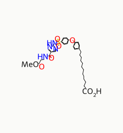 COC(=O)CCNC(=O)c1cnc(NS(=O)(=O)c2ccc(Oc3ccc(CCCCCCCCCCCCCC(=O)O)cc3)cc2)nc1